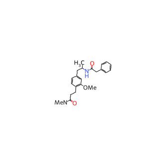 CNC(=O)CCc1ccc(CC(C)NC(=O)Cc2ccccc2)cc1OC